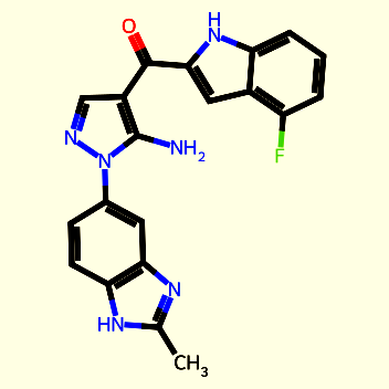 Cc1nc2cc(-n3ncc(C(=O)c4cc5c(F)cccc5[nH]4)c3N)ccc2[nH]1